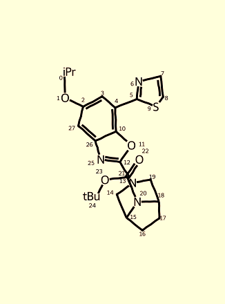 CC(C)Oc1cc(-c2nccs2)c2oc(N3CC4CCC(C3)N4C(=O)OC(C)(C)C)nc2c1